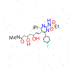 CCS(=O)(=O)Nc1nc(-c2ccc(F)cc2)c(/C=C/[C@@H](O)C[C@@H](O)CC(=O)NC)c(C(C)C)n1